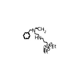 C=CN(CCNCCC[Si](OCC)(OCC)OCC)Cc1ccccc1